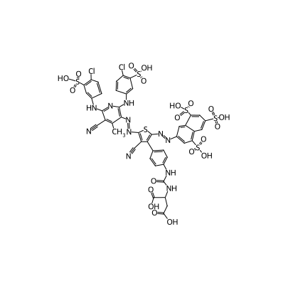 Cc1c(C#N)c(Nc2ccc(Cl)c(S(=O)(=O)O)c2)nc(Nc2ccc(Cl)c(S(=O)(=O)O)c2)c1N=Nc1sc(N=Nc2cc(S(=O)(=O)O)c3cc(S(=O)(=O)O)cc(S(=O)(=O)O)c3c2)c(-c2ccc(NC(=O)NC(CC(=O)O)C(=O)O)cc2)c1C#N